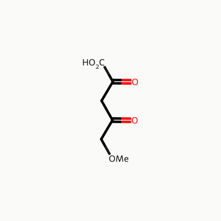 COCC(=O)CC(=O)C(=O)O